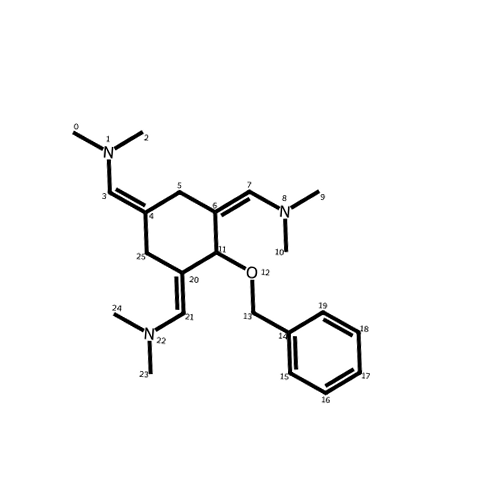 CN(C)C=C1CC(=CN(C)C)C(OCc2ccccc2)C(=CN(C)C)C1